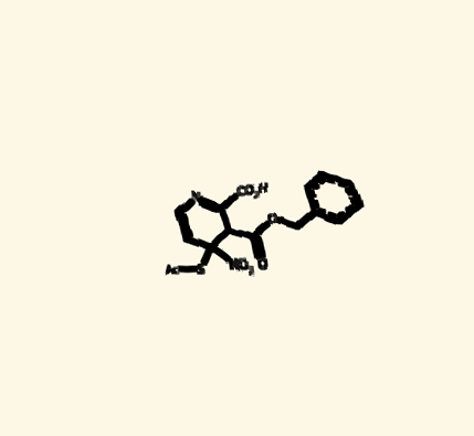 CC(=O)SC1([N+](=O)[O-])C=CN=C(C(=O)O)C1C(=O)OCc1ccccc1